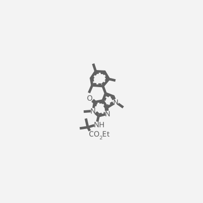 CCOC(=O)C(C)(C)Nc1nc2c(c(-c3c(C)cc(C)cc3C)cn2C)c(=O)n1C